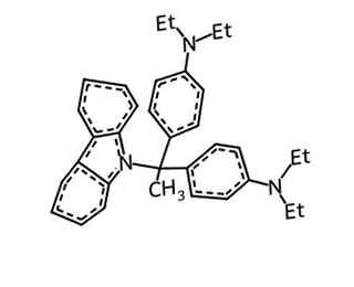 CCN(CC)c1ccc(C(C)(c2ccc(N(CC)CC)cc2)n2c3ccccc3c3ccccc32)cc1